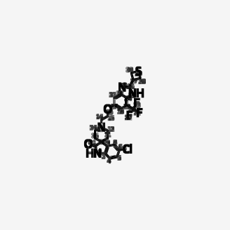 O=C1Nc2ccc(Cl)cc2C12CCN(CCOc1cc(C(F)(F)F)c3[nH]c(C4CSC4)nc3c1)CC2